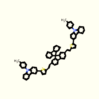 Cc1ccc(-n2c3ccccc3c3cc(-c4ccc(/C=C/c5ccc6c(c5)C5(c7ccccc7-c7ccccc75)c5cc(/C=C/c7ccc(-c8ccc9c(c8)c8ccccc8n9-c8ccc(C)cc8)s7)ccc5-6)s4)ccc32)cc1